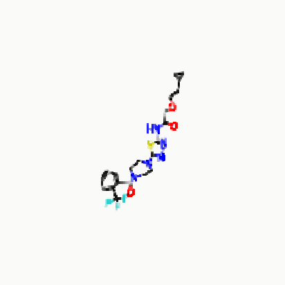 O=C(COCCC1CC1)Nc1nnc(N2CCN(C(=O)c3ccccc3C(F)(F)F)CC2)s1